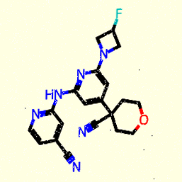 N#Cc1ccnc(Nc2cc(C3(C#N)CCOCC3)cc(N3CC(F)C3)n2)c1